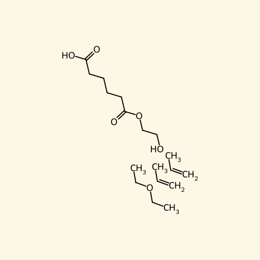 C=CC.C=CC.CCOCC.O=C(O)CCCCC(=O)OCCO